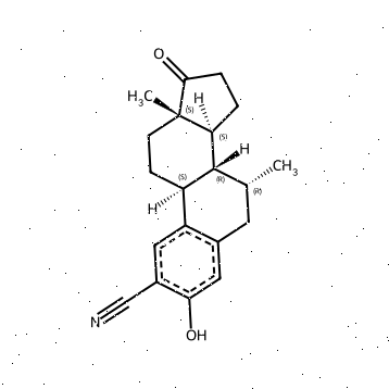 C[C@@H]1Cc2cc(O)c(C#N)cc2[C@H]2CC[C@]3(C)C(=O)CC[C@H]3[C@H]12